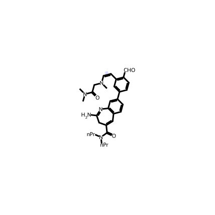 CCCN(CCC)C(=O)C1=Cc2ccc(-c3ccc(C=O)c(/C=C\N(C)CC(=O)N(C)C)c3)cc2N=C(N)C1